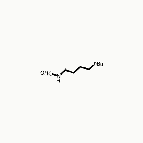 [CH2]CCCCCC[CH]NC=O